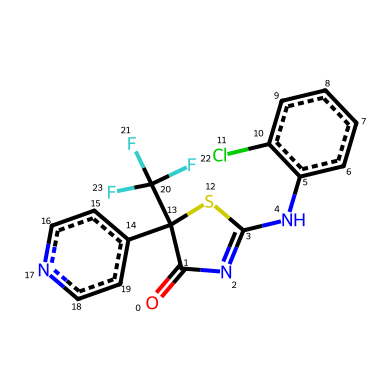 O=C1N=C(Nc2ccccc2Cl)SC1(c1ccncc1)C(F)(F)F